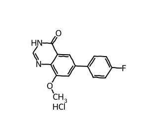 COc1cc(-c2ccc(F)cc2)cc2c(=O)[nH]cnc12.Cl